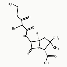 CCOC(=O)C(Br)C(=O)NC1C(=O)N2[C@@H]1SC(C)(C)[C@@H]2C(=O)O